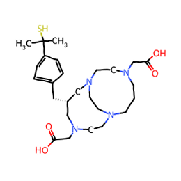 CC(C)(S)c1ccc(C[C@@H]2CN3CCN(CCCN(CC(=O)O)CC3)CCN(CC(=O)O)C2)cc1